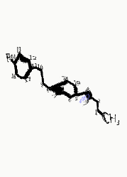 CCC/C=C/c1ccc(CCc2ccc(F)cc2)cc1